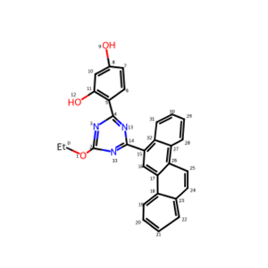 CCOc1nc(-c2ccc(O)cc2O)nc(-c2cc3c4ccccc4ccc3c3ccccc23)n1